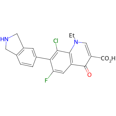 CCn1cc(C(=O)O)c(=O)c2cc(F)c(-c3ccc4c(c3)CNC4)c(Cl)c21